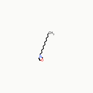 CCCCCCCCCCCCN1C=COC1